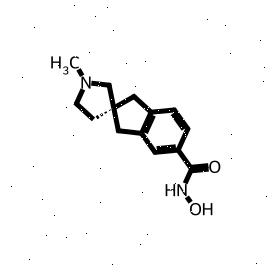 CN1CC[C@@]2(Cc3ccc(C(=O)NO)cc3C2)C1